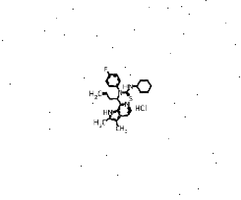 C=CCC(c1nccc2c(C)c(C)[nH]c12)N(C(=S)NC1CCCCC1)c1ccc(F)cc1.Cl